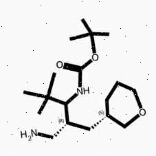 CC(C)(C)OC(=O)NC([C@@H](CN)C[C@@H]1CCCOC1)C(C)(C)C